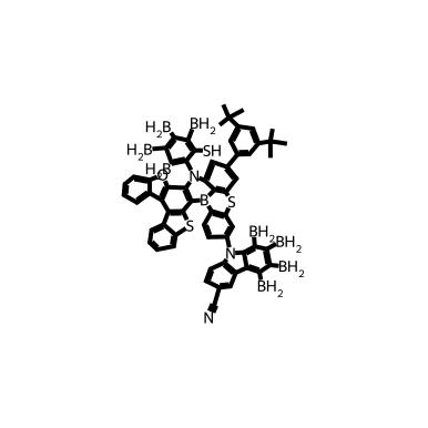 Bc1c(B)c(B)c(N2c3cc(-c4cc(C(C)(C)C)cc(C(C)(C)C)c4)cc4c3B(c3ccc(-n5c6ccc(C#N)cc6c6c(B)c(B)c(B)c(B)c65)cc3S4)c3c2c2oc4ccccc4c2c2c3sc3ccccc32)c(S)c1B